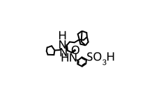 O=C(Nc1cccc(S(=O)(=O)O)c1)c1nc(C2CCCCC2)[nH]c1CCC12CC3CC(CC(C3)C1)C2